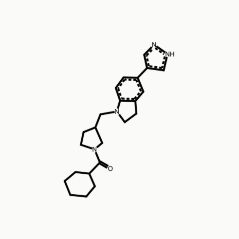 O=C(C1CCCCC1)N1CCC(CN2CCc3cc(-c4cn[nH]c4)ccc32)C1